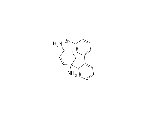 NC1=CCC(N)(c2ccccc2-c2cccc(Br)c2)C=C1